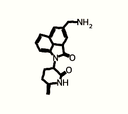 C=C1CCC(N2C(=O)C3C=C(CN)C=C4C=CC=C2C43)C(=O)N1